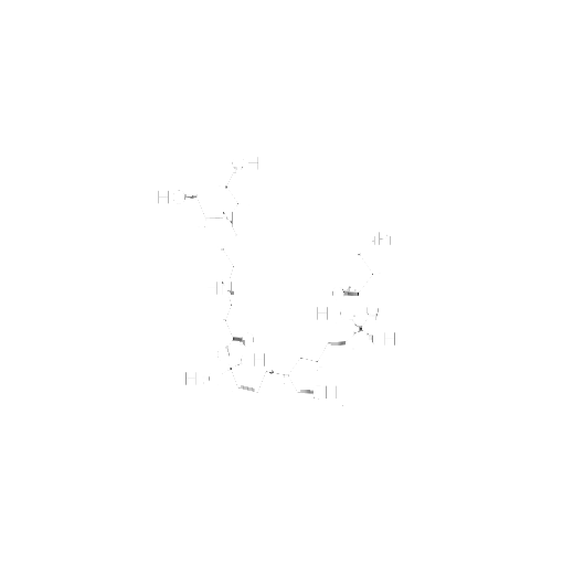 C=CC(C/C=C\C(C)(C)OC(=O)CCNCCCN(CCO)CCO)CC/C=C/C(C)(C)OC(=O)CCC(C)C